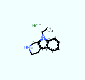 CCn1c2c(c3ccccc31)CCNC2.Cl